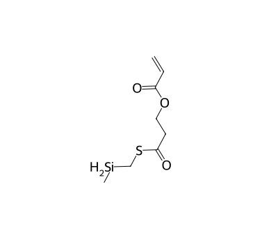 C=CC(=O)OCCC(=O)SC[SiH2]C